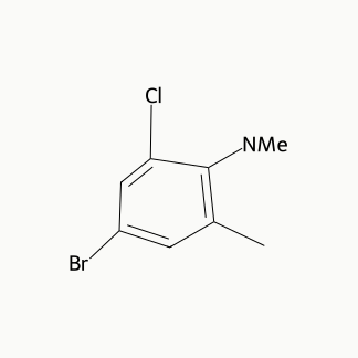 CNc1c(C)cc(Br)cc1Cl